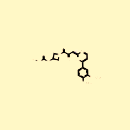 COc1ccc(C2=CC=N/C(=C/C(=N)C(=O)N3CC(NC(=O)OC(C)(C)C)C3)N2)cc1OC